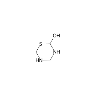 OC1NCNCS1